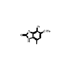 COc1cc(C)c2[nH]c(=O)oc2c1C(C)C